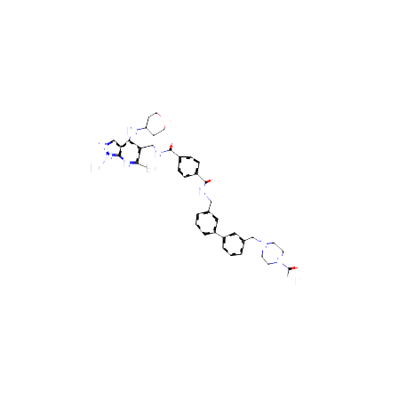 CCc1nc2c(cnn2CC)c(NC2CCOCC2)c1CNC(=O)c1ccc(C(=O)NCc2cccc(-c3cccc(CN4CCN(C(=O)OCC(C)C)CC4)c3)c2)cc1